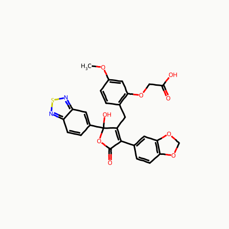 COc1ccc(CC2=C(c3ccc4c(c3)OCO4)C(=O)OC2(O)c2ccc3nsnc3c2)c(OCC(=O)O)c1